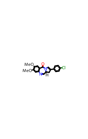 COc1cc2c(cc1OC)C(=O)N1C=C(c3ccc(Cl)cc3)C[C@H]1C=N2